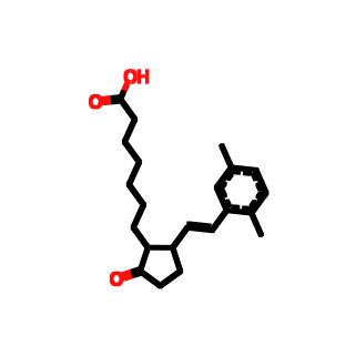 Cc1ccc(C)c(C=CC2CCC(=O)C2CCCCCCC(=O)O)c1